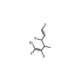 CC/C(F)=C(/F)C(C)C(F)/C=C/F